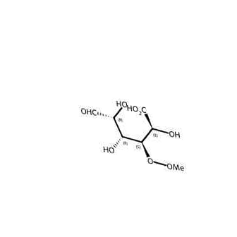 COO[C@@H]([C@H](O)[C@@H](O)C=O)[C@H](O)C(=O)O